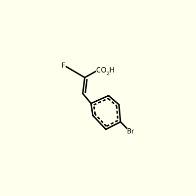 O=C(O)/C(F)=C\c1ccc(Br)cc1